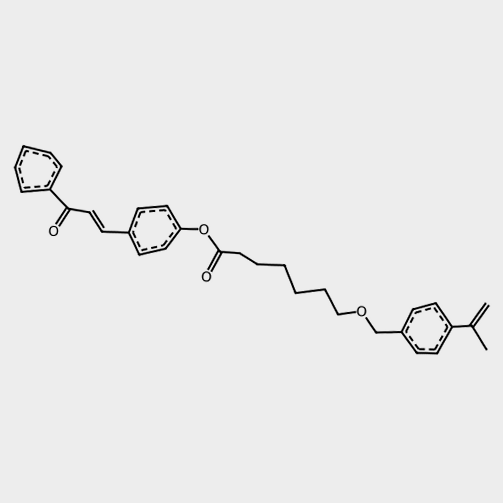 C=C(C)c1ccc(COCCCCCCC(=O)Oc2ccc(C=CC(=O)c3ccccc3)cc2)cc1